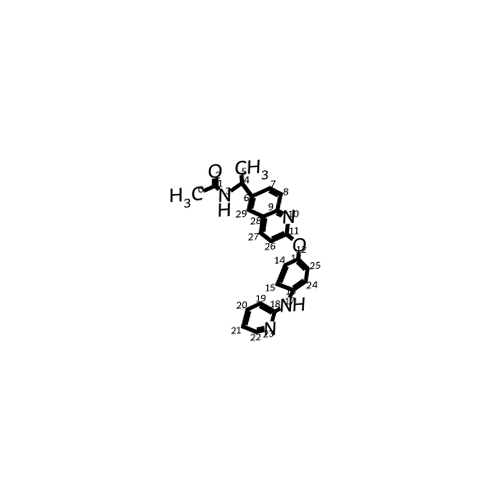 CC(=O)NC(C)c1ccc2nc(Oc3ccc(Nc4ccccn4)cc3)ccc2c1